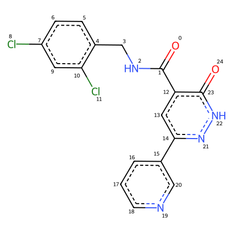 O=C(NCc1ccc(Cl)cc1Cl)c1cc(-c2cccnc2)n[nH]c1=O